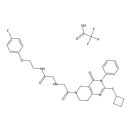 O=C(CNCC(=O)N1CCc2nc(SC3CCC3)n(-c3ccccc3)c(=O)c2C1)NCCOc1ccc(F)cc1.O=C(O)C(F)(F)F